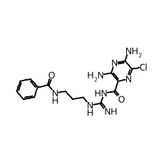 N=C(NCCCNC(=O)c1ccccc1)NC(=O)c1nc(Cl)c(N)nc1N